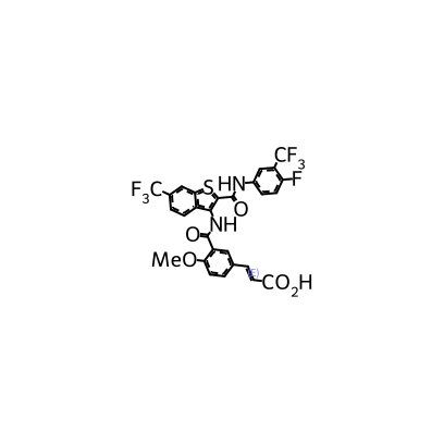 COc1ccc(/C=C/C(=O)O)cc1C(=O)Nc1c(C(=O)Nc2ccc(F)c(C(F)(F)F)c2)sc2cc(C(F)(F)F)ccc12